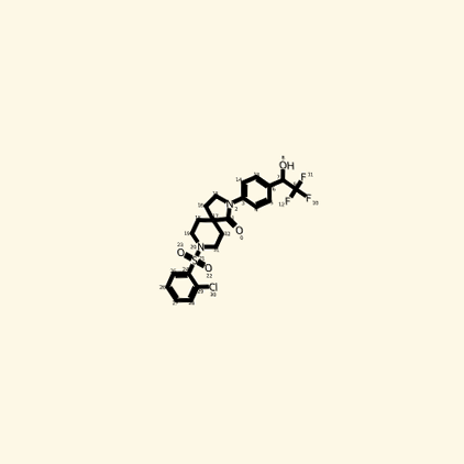 O=C1N(c2ccc(C(O)C(F)(F)F)cc2)CCC12CCN(S(=O)(=O)c1ccccc1Cl)CC2